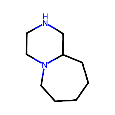 C1CCC2CNCCN2CC1